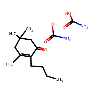 CCCCC1=C(C)CC(C)(C)CC1=O.NC(=O)O.NC(=O)O